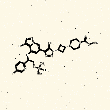 Cc1c(-c2cc(OC(CO[Si](C)(C)C(C)(C)C)c3ccc(F)cn3)c3c(Cl)cnn3c2)nnn1[C@H]1C[C@@H](N2CCN(C(=O)OC(C)(C)C)CC2)C1